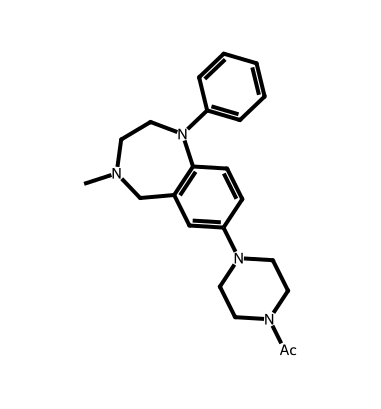 CC(=O)N1CCN(c2ccc3c(c2)CN(C)CCN3c2ccccc2)CC1